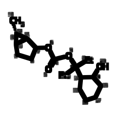 CCC(CC)(OC(=O)OC1CCC2C1[C@H]2C)C1CCCCC1O